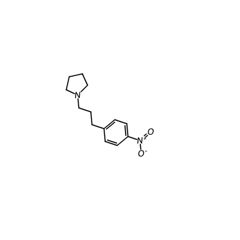 O=[N+]([O-])c1ccc(CCCN2CCCC2)cc1